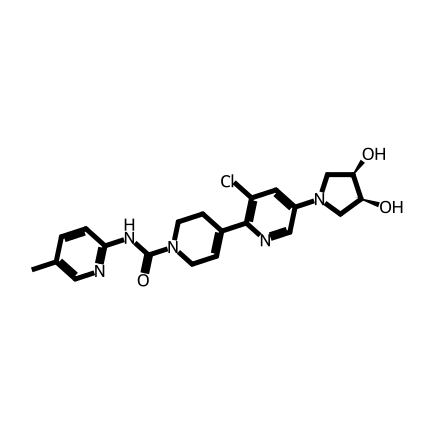 Cc1ccc(NC(=O)N2CC=C(c3ncc(N4C[C@@H](O)[C@@H](O)C4)cc3Cl)CC2)nc1